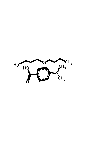 CCC[CH2][Sn][CH2]CCC.CN(C)c1ccc(C(=O)O)cc1